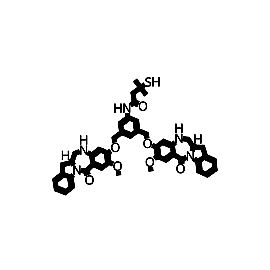 COc1cc2c(cc1OCc1cc(COc3cc4c(cc3OC)C(=O)N3c5ccccc5C[C@H]3CN4)cc(NC(=O)CC(C)(C)S)c1)NC[C@@H]1Cc3ccccc3N1C2=O